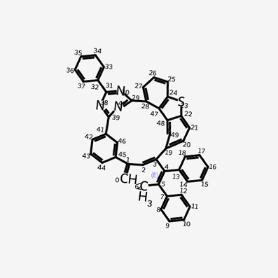 C=c1cc(/C(=C(\C)c2ccccc2)c2ccccc2)c2ccc3sc4cccc(c5nc(-c6ccccc6)nc(n5)c5cccc1c5)c4c3c2